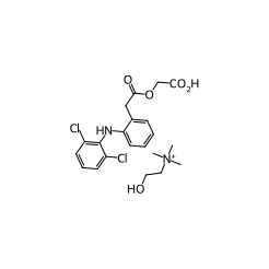 C[N+](C)(C)CCO.O=C(O)COC(=O)Cc1ccccc1Nc1c(Cl)cccc1Cl